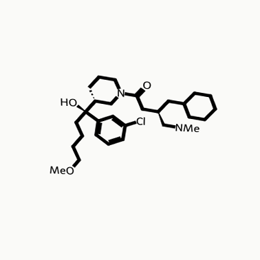 CNC[C@@H](CC(=O)N1CCC[C@@H]([C@@](O)(CCCCOC)c2cccc(Cl)c2)C1)CC1CCCCC1